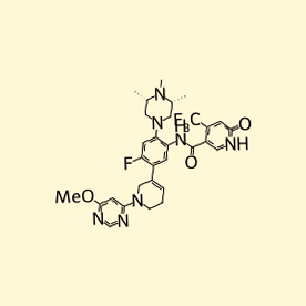 COc1cc(N2CCC=C(c3cc(NC(=O)c4c[nH]c(=O)cc4C(F)(F)F)c(N4C[C@@H](C)N(C)[C@@H](C)C4)cc3F)C2)ncn1